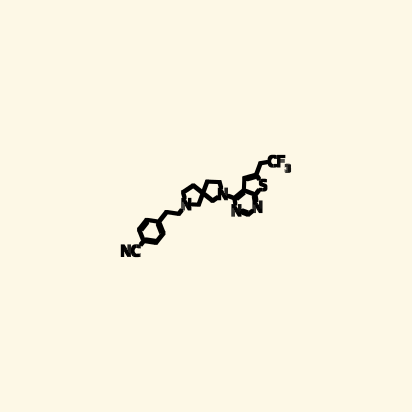 N#Cc1ccc(CCN2CCC3(CCN(c4ncnc5sc(CC(F)(F)F)cc45)C3)C2)cc1